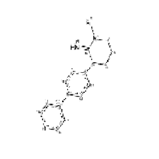 CCCN1CCCC(c2ccc(-c3ccccc3)cc2)C1=N